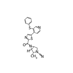 CC1[C@H]2C(CN1C#N)N2C(=O)c1ncc(-c2ccncc2Sc2ccccc2)s1